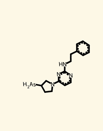 [AsH2]C1CCN(c2ccnc(NCCc3ccccc3)n2)C1